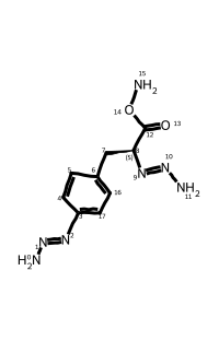 NN=Nc1ccc(C[C@H](N=NN)C(=O)ON)cc1